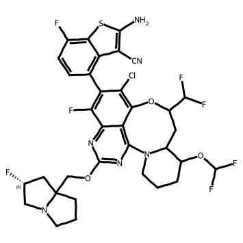 N#Cc1c(N)sc2c(F)ccc(-c3c(Cl)c4c5c(nc(OCC67CCCN6C[C@H](F)C7)nc5c3F)N3CCCC(OC(F)F)C3CC(C(F)F)O4)c12